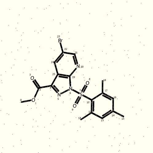 COC(=O)c1nn(S(=O)(=O)c2c(C)cc(C)cc2C)c2ncc(Br)cc12